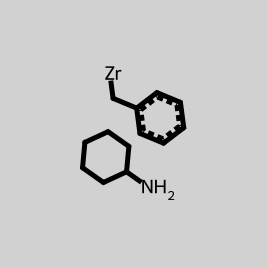 NC1CCCCC1.[Zr][CH2]c1ccccc1